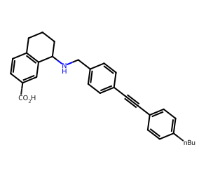 CCCCc1ccc(C#Cc2ccc(CNC3CCCc4ccc(C(=O)O)cc43)cc2)cc1